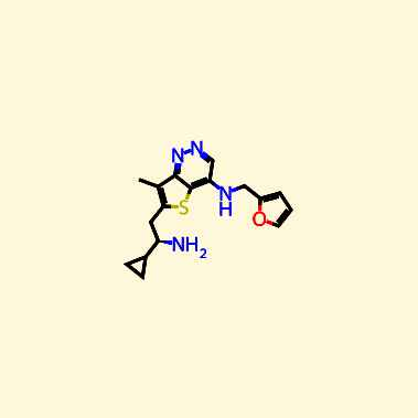 Cc1c(C[C@@H](N)C2CC2)sc2c(NCc3ccco3)cnnc12